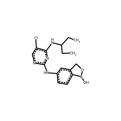 CCC(CC)Nc1nc(Nc2ccc3c(c2)COB3O)ncc1Cl